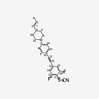 C/C=C/C1CCC(c2ccc(C#Cc3cc(F)c(SC#N)c(F)c3)cc2)CC1